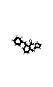 O=c1c2c(nc3n1CCC3)C=CCC2=Cc1ccccc1